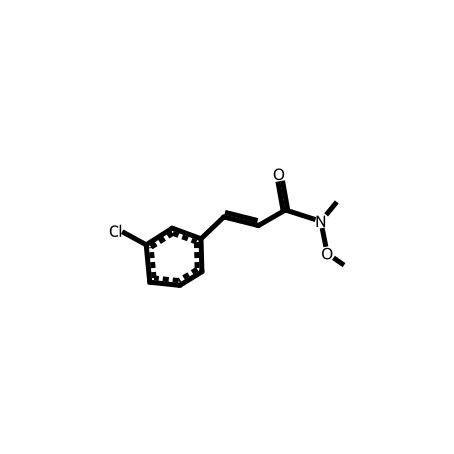 CON(C)C(=O)C=Cc1cccc(Cl)c1